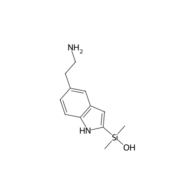 C[Si](C)(O)c1cc2cc(CCN)ccc2[nH]1